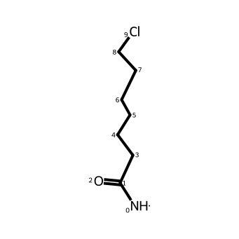 [NH]C(=O)CCCCCCCl